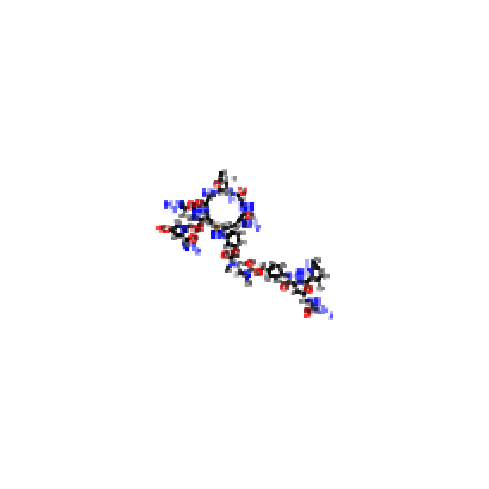 CC[C@H](C)[C@@H]1NC(=O)CNC(=O)[C@@H](N)Cc2c([nH]c3cc(OC(=O)N(C)CCN(C)C(=O)OCc4ccc(NC(=O)[C@H](CCCNC(N)=O)NC(=O)[C@@H](NC(C)C)C(C)C)cc4)ccc23)SC[C@@H](C(=O)N[C@@H](CC(N)=O)C(=O)N2C[C@H](O)C[C@H]2C(N)=O)NC(=O)CNC1=O